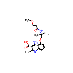 COCCC(=O)NC(C)(C)COc1cccc2nc(C)c(C(=O)O)c(N)c12